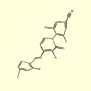 N#Cc1cc(F)c(-n2ccc(OCc3ccc(F)cc3F)c(Br)c2=O)c(F)c1